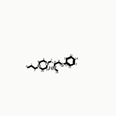 CCCN1CCN(C[C@H](CSc2ccccc2)NC)CC1